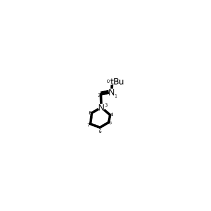 CC(C)(C)/N=C/N1CCCCC1